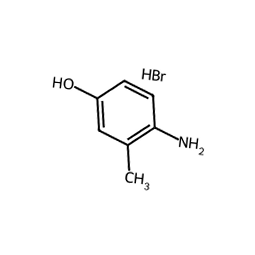 Br.Cc1cc(O)ccc1N